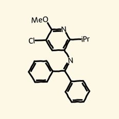 COc1nc(C(C)C)c(N=C(c2ccccc2)c2ccccc2)cc1Cl